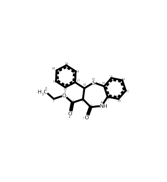 CCOC(=O)C1C(=O)Nc2ccccc2SC1c1ccccc1